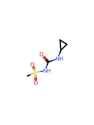 CS(=O)(=O)NC(=O)NC1CC1